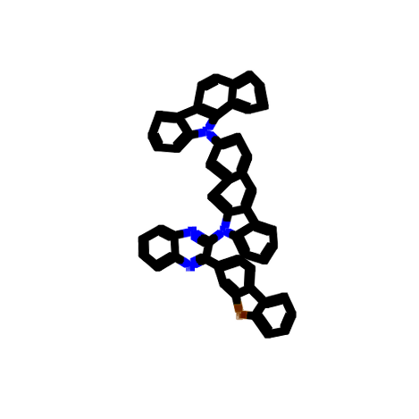 c1ccc2c(c1)ccc1c3ccccc3n(-c3ccc4cc5c6ccccc6n(-c6nc7ccccc7nc6-c6ccc7c(c6)sc6ccccc67)c5cc4c3)c21